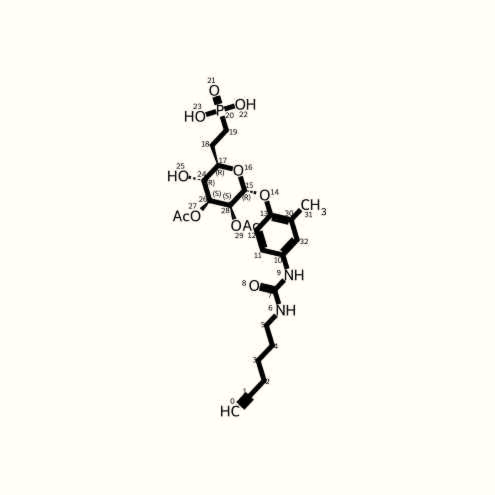 C#CCCCCNC(=O)Nc1ccc(O[C@H]2O[C@H](CCP(=O)(O)O)[C@@H](O)[C@H](OC(C)=O)[C@@H]2OC(C)=O)c(C)c1